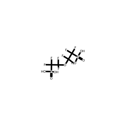 O=P(O)(O)C(F)(F)C(F)(F)OC(F)(F)C(F)(F)P(=O)(O)O